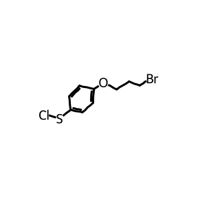 ClSc1ccc(OCCCBr)cc1